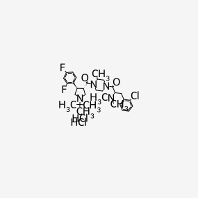 C[C@H]1CN(C(=O)C(Cc2ccccc2Cl)N(C)C)CCN1C(=O)[C@@H]1CN(C(C)(C)C)C[C@H]1c1ccc(F)cc1F.Cl.Cl